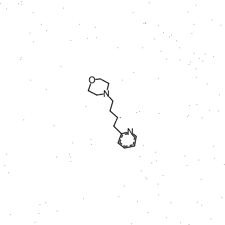 [CH](CCN1CCOCC1)Cc1ccccn1